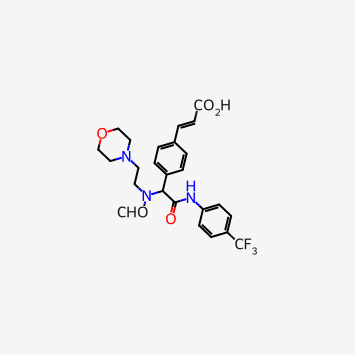 O=CN(CCN1CCOCC1)C(C(=O)Nc1ccc(C(F)(F)F)cc1)c1ccc(C=CC(=O)O)cc1